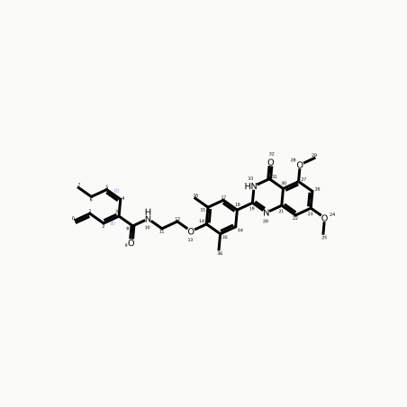 C=C/C=C(\C=C/CC)C(=O)NCCOc1c(C)cc(-c2nc3cc(OC)cc(OC)c3c(=O)[nH]2)cc1C